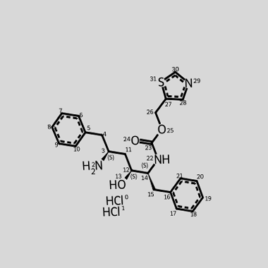 Cl.Cl.N[C@@H](Cc1ccccc1)C[C@H](O)[C@H](Cc1ccccc1)NC(=O)OCc1cncs1